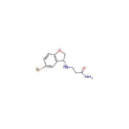 NC(=O)CCNC1COc2ccc(Br)cc21